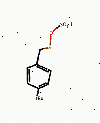 CC(C)(C)c1ccc(CSOS(=O)(=O)O)cc1